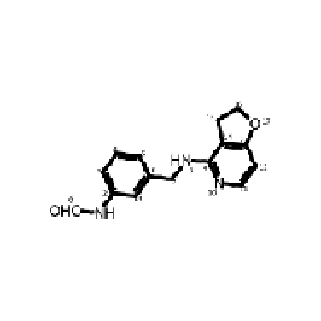 O=CNc1cccc(CNc2nccc3c2CCO3)c1